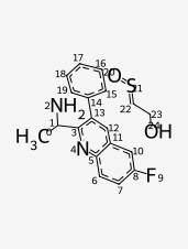 CC(N)c1nc2ccc(F)cc2cc1-c1ccccc1.O=S=CCO